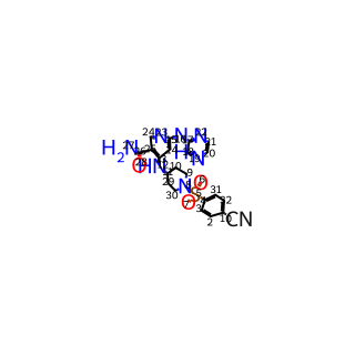 N#Cc1ccc(S(=O)(=O)N2CCC(Nc3cc(Nc4cnccn4)ncc3C(N)=O)CC2)cc1